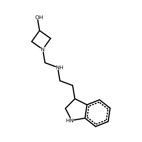 OC1CN(CNCCC2CNc3ccccc32)C1